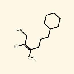 CCC(CS)=C(C)CCCC1CCCCC1